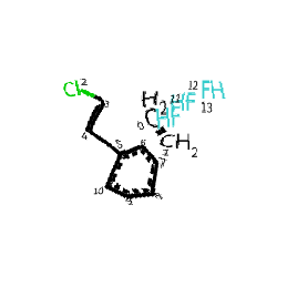 C=C.ClC=Cc1ccccc1.F.F.F